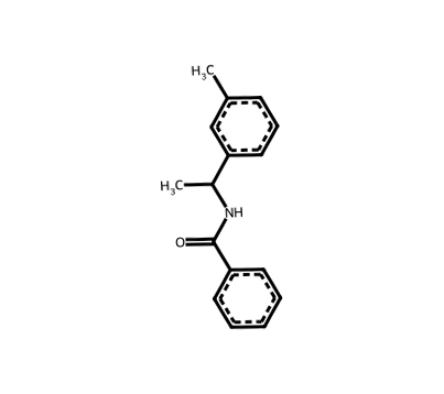 Cc1cccc(C(C)NC(=O)c2ccccc2)c1